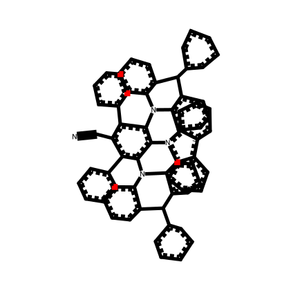 N#Cc1c(-c2ccccc2)c(N2c3ccccc3C(c3ccccc3)c3ccccc32)c(-n2c3ccccc3c3ccccc32)c(N2c3ccccc3C(c3ccccc3)c3ccccc32)c1-c1ccccc1